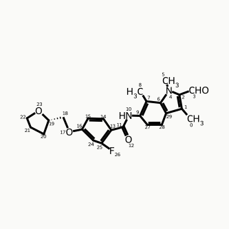 Cc1c(C=O)n(C)c2c(C)c(NC(=O)c3ccc(OC[C@@H]4CCCO4)cc3F)ccc12